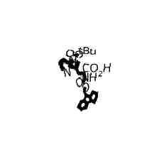 CC(C)(C)OC(=O)n1cc(C[C@H](NC(=O)OCC2c3ccccc3-c3ccccc32)C(=O)O)c2ncccc21